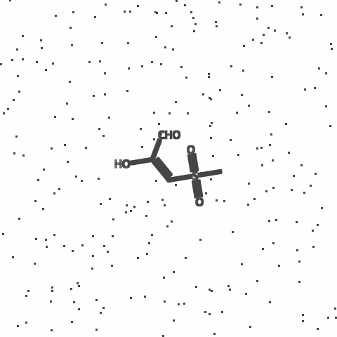 CS(=O)(=O)/C=C(/O)C=O